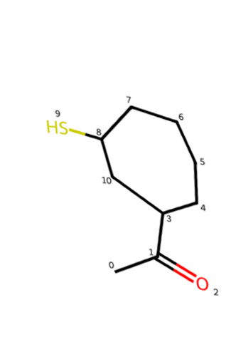 CC(=O)C1CCCCC(S)C1